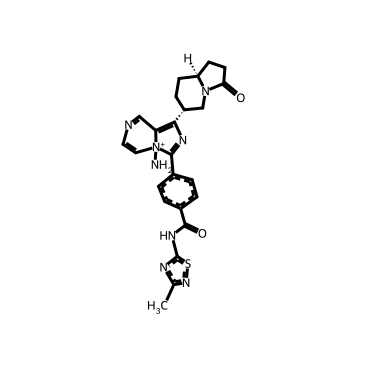 Cc1nsc(NC(=O)c2ccc(C3=NC([C@@H]4CC[C@H]5CCC(=O)N5C4)=C4C=NC=C[N+]34N)cc2)n1